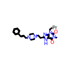 CC(C)Cn1c(=O)n(C)c(=O)c2[nH]c(CCN3CCN(CC=Cc4ccccc4)CC3)nc21